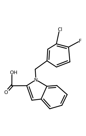 O=C(O)c1cc2ccccc2n1Cc1ccc(F)c(Cl)c1